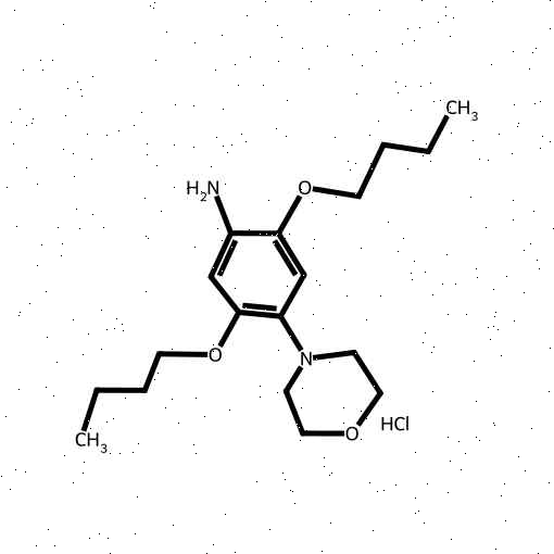 CCCCOc1cc(N2CCOCC2)c(OCCCC)cc1N.Cl